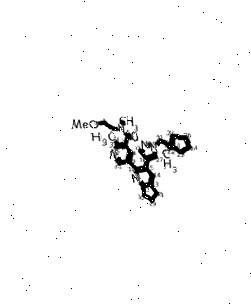 COCCN(C)C(=O)c1cc(-c2nc3c(cc2-c2cnn(CC4(C)CCCC4)c2)CCC3)cnc1C